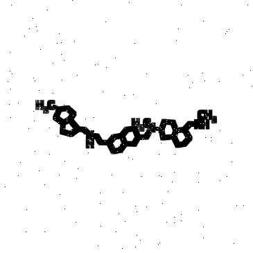 CNCC1CCCC2C[C@H](N(C)CC3CCC4CC(CCNCC5CCC6C[C@H](C)CCC56)CCC4C3)CCC12